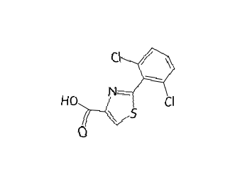 O=C(O)c1csc(-c2c(Cl)cccc2Cl)n1